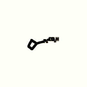 O=[C](O)[Pt][CH]1CCC1